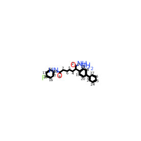 NC(=O)C(CCCCC(=O)Nc1ccc(F)cc1)c1ccc(-c2ccccc2)cc1N